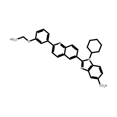 O=C(O)COc1cccc(-c2ccc3cc(-c4nc5cc(C(=O)O)ccc5n4C4CCCCC4)ccc3n2)c1